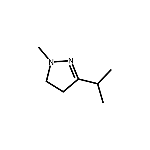 CC(C)C1=NN(C)CC1